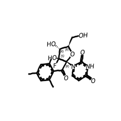 Cc1cc(C)c(C(=O)[C@@]2(n3ccc(=O)[nH]c3=O)O[C@H](CO)[C@@H](O)[C@]2(O)F)c(C)c1